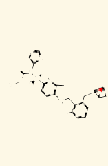 CC(C)(C)OC(=O)N(c1cscn1)S(=O)(=O)c1ccc(NCc2c(F)cccc2CN2C=C3CC2C3)c(C(F)(F)F)n1